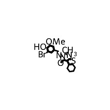 COc1cc(C=Nn2c(C)nc3sc4c(c3c2=O)CCCC4)cc(Br)c1O